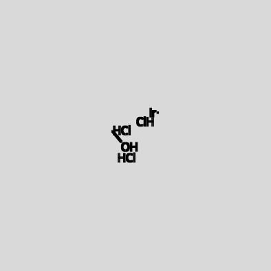 CO.Cl.Cl.Cl.[Ir]